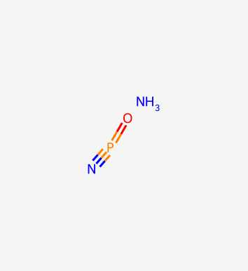 N.N#P=O